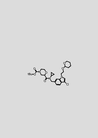 CC(C)(C)OC(=O)N1CCOC(C(=O)N(Cc2ccc3c(Cl)cn(CCOC4CCCCO4)c3c2)C2CC2)C1